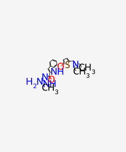 CCN(CC)Cc1ccc(Oc2cccc3cc(C(=O)N=C(N)NC)[nH]c23)s1